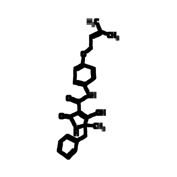 CC(C)=CCOc1ccc(NC(=O)C2=C(O)C(C)(Cc3ccccc3)NC2=O)cc1